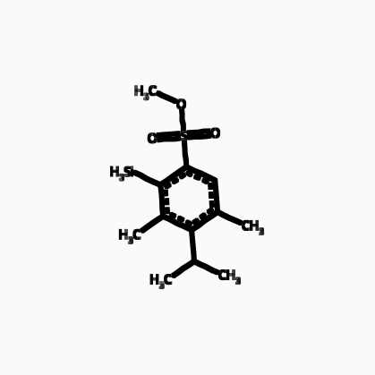 COS(=O)(=O)c1cc(C)c(C(C)C)c(C)c1[SiH3]